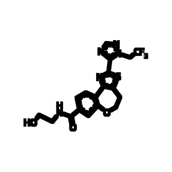 O=C(NCCO)c1ccc2c(c1)OCCc1sc(-c3ncnn3CC(F)(F)F)nc1-2